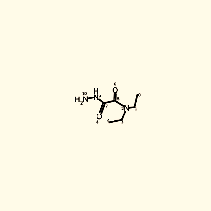 CCN(CC)C(=O)C(=O)NN